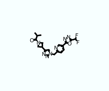 CC(C)C(=O)N1CC(c2cn(Cc3ccc(-c4nnc(C(F)F)o4)cn3)nn2)C1